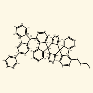 CCCCc1cccc2c1-c1ccccc1C21c2ccccc2C2(c3ccccc3-c3c(-n4c5ccccc5c5cc(-c6ccccc6)ccc54)cccc32)c2ccccc21